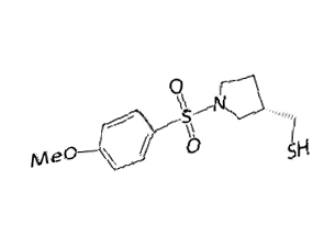 COc1ccc(S(=O)(=O)N2CC[C@H](CS)C2)cc1